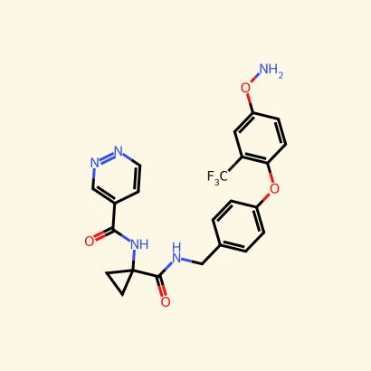 NOc1ccc(Oc2ccc(CNC(=O)C3(NC(=O)c4ccnnc4)CC3)cc2)c(C(F)(F)F)c1